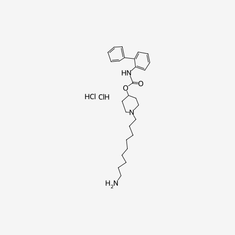 Cl.Cl.NCCCCCCCCCN1CCC(OC(=O)Nc2ccccc2-c2ccccc2)CC1